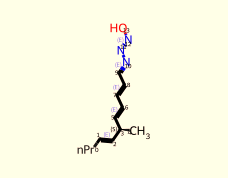 CCC/C=C/[C@H](C)/C=C/C=C/C=N/N=N/O